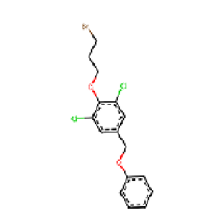 Clc1cc(COc2ccccc2)cc(Cl)c1OCCCBr